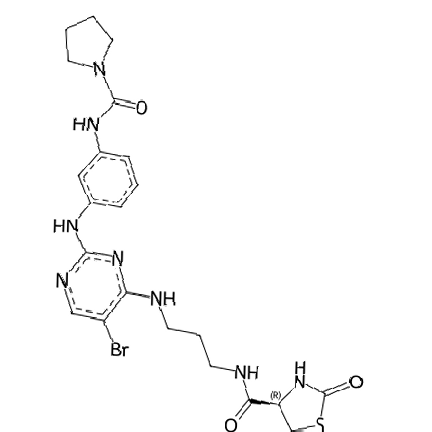 O=C1N[C@H](C(=O)NCCCNc2nc(Nc3cccc(NC(=O)N4CCCC4)c3)ncc2Br)CS1